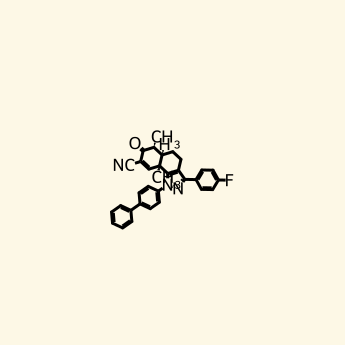 C[C@H]1C(=O)C(C#N)=C[C@@]2(C)c3c(c(-c4ccc(F)cc4)nn3-c3ccc(-c4ccccc4)cc3)CC[C@H]12